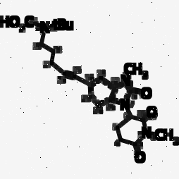 CN1C(=O)CCC(n2c(=O)n(C)c3cc(C#CCCCN(C(=O)O)C(C)(C)C)ccc32)C1=O